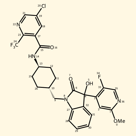 COc1cc(C2(O)C(=O)N(C[C@H]3CC[C@H](NC(=O)c4cc(Cl)cnc4C(F)(F)F)CC3)c3ccccc32)c(F)cn1